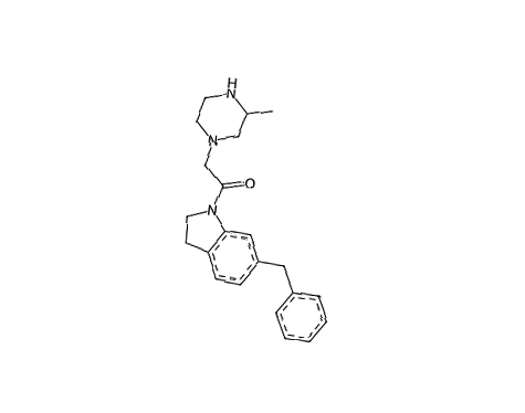 CC1CN(CC(=O)N2CCc3ccc(Cc4ccccc4)cc32)CCN1